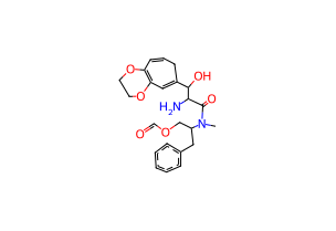 CN(C(=O)C(N)C(O)C1=CC2=C(C=CC1)OCCO2)C(COC=O)Cc1ccccc1